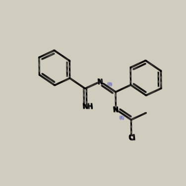 C/C(Cl)=N\C(=N/C(=N)c1ccccc1)c1ccccc1